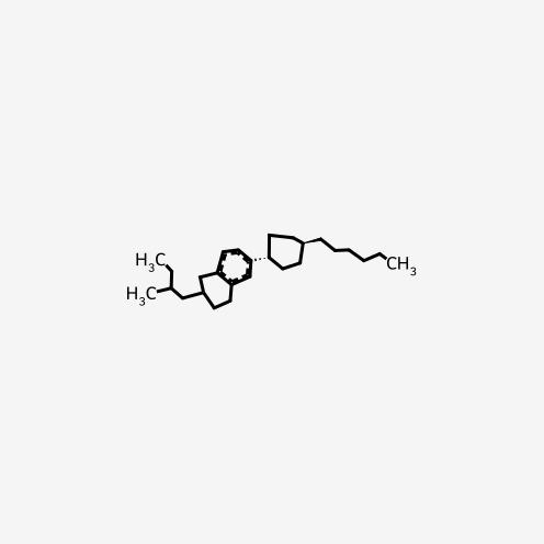 CCCCCC[C@H]1CC[C@H](c2ccc3c(c2)CCC(CC(C)CC)C3)CC1